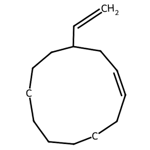 C=CC1CC=CCCCCCCCC1